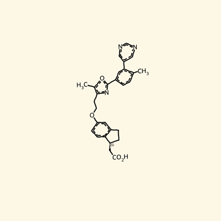 Cc1ccc(-c2nc(CCOc3ccc4c(c3)CC[C@H]4CC(=O)O)c(C)o2)cc1-c1cncnc1